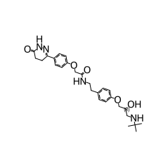 CC(C)(C)NC[C@@H](O)COc1ccc(CCNC(=O)COc2ccc(C3=NNC(=O)CC3)cc2)cc1